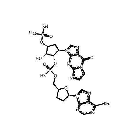 Nc1ncnc2c1ncn2[C@H]1CC[C@@H](COP(=O)(S)O[C@@H]2[C@H](O)[C@@H](OP(=O)(O)S)C[C@H]2n2cnc3c(=O)n4cc[nH]c4nc32)O1